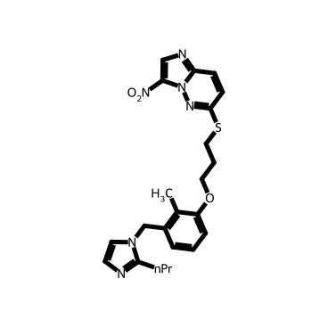 CCCc1nccn1Cc1cccc(OCCCSc2ccc3ncc([N+](=O)[O-])n3n2)c1C